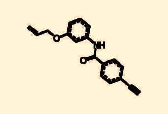 C#Cc1ccc(C(=O)Nc2cccc(OCC=C)c2)cc1